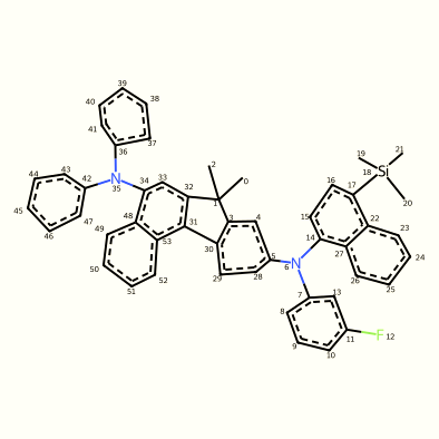 CC1(C)c2cc(N(c3cccc(F)c3)c3ccc([Si](C)(C)C)c4ccccc34)ccc2-c2c1cc(N(c1ccccc1)c1ccccc1)c1ccccc21